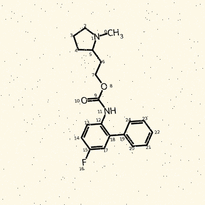 CN1CCCC1CCOC(=O)Nc1ccc(F)cc1-c1ccccc1